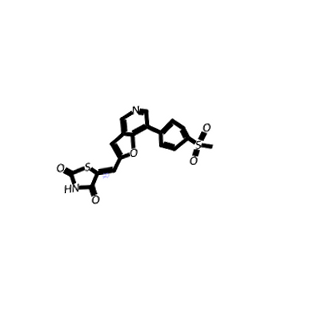 CS(=O)(=O)c1ccc(-c2cncc3cc(/C=C4\SC(=O)NC4=O)oc23)cc1